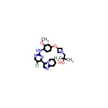 COc1cc(OC2CN(CC(C)(C)O)C2)ccc1Nc1ncc(Cl)c(-c2cnc3ccccn23)n1